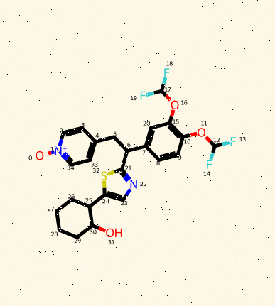 [O-][n+]1ccc(CC(c2ccc(OC(F)F)c(OC(F)F)c2)c2ncc(C3CCCCC3O)s2)cc1